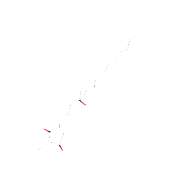 CCCN1C(=O)CC(SCCC(=O)NCCOCCOCCOCC)C1=O